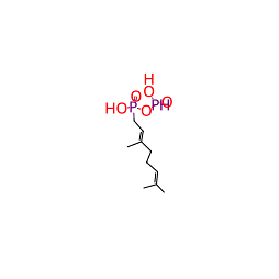 CC(C)=CCC/C(C)=C/CP(=O)(O)O[PH](=O)O